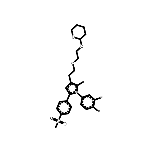 Cc1c(CCOCCOC2CCCCO2)cc(-c2ccc(S(C)(=O)=O)cc2)n1-c1ccc(F)c(F)c1